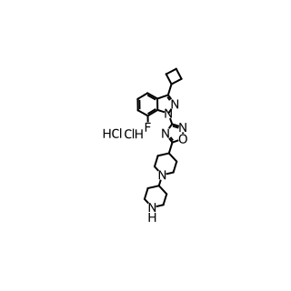 Cl.Cl.Fc1cccc2c(C3CCC3)nn(-c3noc(C4CCN(C5CCNCC5)CC4)n3)c12